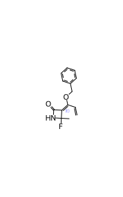 C=C/C(OCc1ccccc1)=C1/C(=O)NC1(C)F